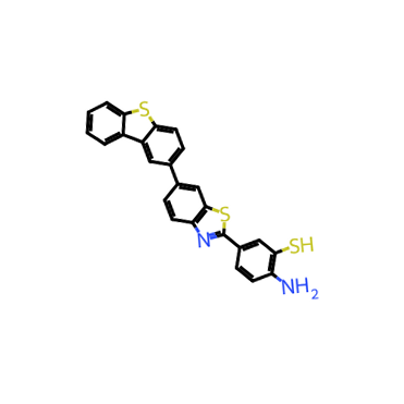 Nc1ccc(-c2nc3ccc(-c4ccc5sc6ccccc6c5c4)cc3s2)cc1S